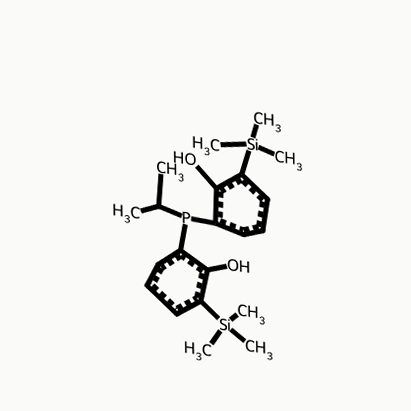 CC(C)P(c1cccc([Si](C)(C)C)c1O)c1cccc([Si](C)(C)C)c1O